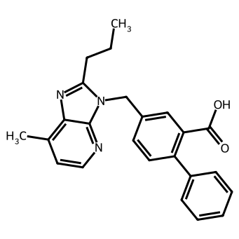 CCCc1nc2c(C)ccnc2n1Cc1ccc(-c2ccccc2)c(C(=O)O)c1